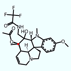 CC[C@]12C=CCN3CC[C@@]4(c5ccc(OC)cc5N(C)[C@H]4C(O)(CNC(=O)C(F)(F)F)[C@@H]1OC(C)=O)[C@@H]32